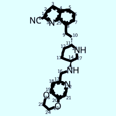 N#Cc1ccc2cccc(CC[C@H]3CC[C@H](NCc4cc5c(cn4)OCCO5)CN3)c2n1